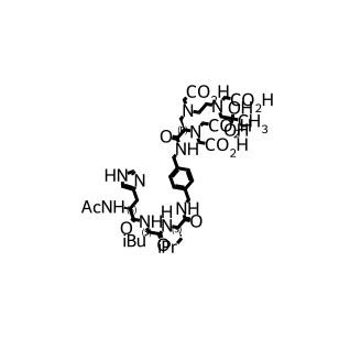 CCC(C)[C@H](NC(=O)[C@H](Cc1c[nH]cn1)NC(C)=O)C(=O)N[C@@H](CC(C)C)C(=O)NCc1ccc(CNC(=O)[C@@H](CN(CCN(CC(=O)O)CC(C)(O)O)CC(=O)O)N(CC(=O)O)CC(=O)O)cc1